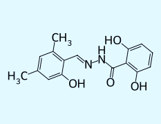 Cc1cc(C)c(C=NNC(=O)c2c(O)cccc2O)c(O)c1